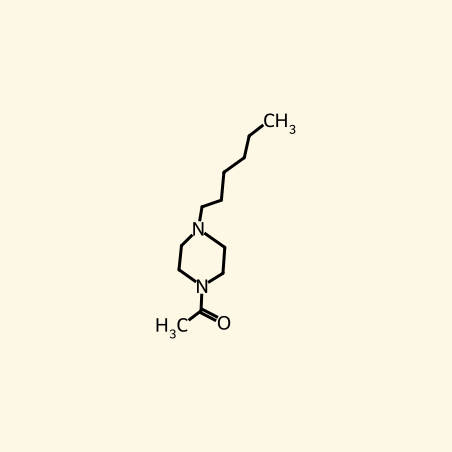 CCCCCCN1CCN(C(C)=O)CC1